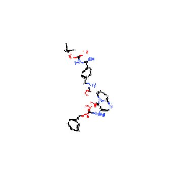 CC(C)(C)OC(=O)NC(=N)c1ccc(CNC(=O)[C@@H]2CCc3ncc(NC(=O)OCc4ccccc4)c(=O)n32)cc1